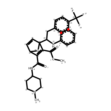 COC(=O)C1=C(C(=O)NC2CCN(C)CC2)C2C=CC1(C(Cc1ccc(C(F)(F)F)cc1)Nc1ccccc1)O2